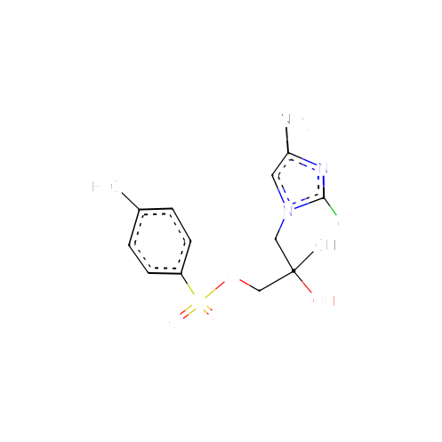 Cc1ccc(S(=O)(=O)OCC(C)(O)Cn2cc([N+](=O)[O-])nc2Cl)cc1